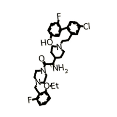 CCOc1cccc(F)c1CN1CCN(C(=O)[C@H](N)C2CCN(CCc3cc(Cl)ccc3-c3cc(O)ccc3F)CC2)CC1